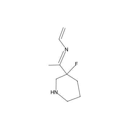 C=C/N=C(\C)C1(F)CCCNC1